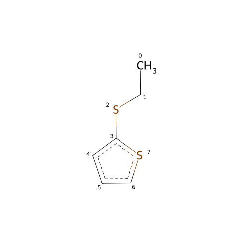 CCSc1cccs1